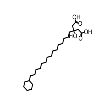 O=C(O)CC(O)(CCCCCCCCCCCCCCCC1CCCCC1)CC(=O)O